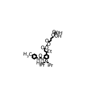 CCC(CC(=O)OCOC(=O)CCCOP(=O)(O)O)c1ccc(N(CC(C)C)CC(C)C)c(NC(=O)Nc2ccc(C)cc2)c1